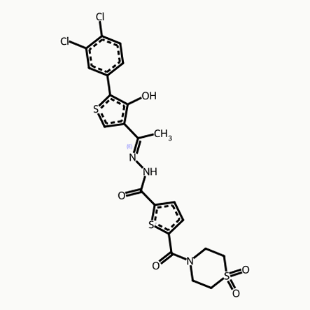 C/C(=N\NC(=O)c1ccc(C(=O)N2CCS(=O)(=O)CC2)s1)c1csc(-c2ccc(Cl)c(Cl)c2)c1O